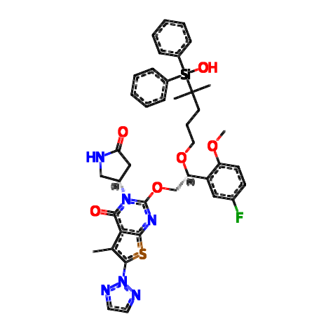 COc1ccc(F)cc1[C@H](COc1nc2sc(-n3nccn3)c(C)c2c(=O)n1[C@@H]1CNC(=O)C1)OCCCC(C)(C)[Si](O)(c1ccccc1)c1ccccc1